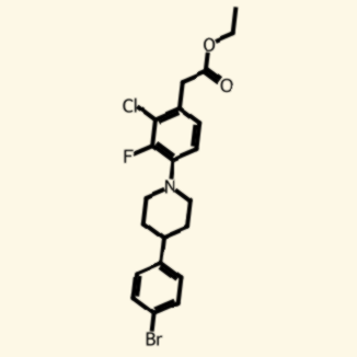 CCOC(=O)Cc1ccc(N2CCC(c3ccc(Br)cc3)CC2)c(F)c1Cl